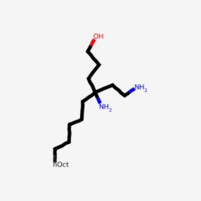 CCCCCCCCCCCCCC(N)(CCN)CCCO